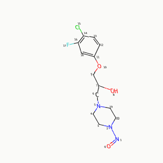 O=NN1CCN(CC(O)COc2ccc(Cl)c(F)c2)CC1